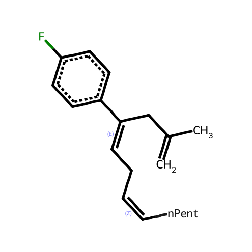 C=C(C)C/C(=C\C/C=C\CCCCC)c1ccc(F)cc1